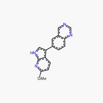 COc1ccc2c(-c3ccc4ncncc4c3)c[nH]c2n1